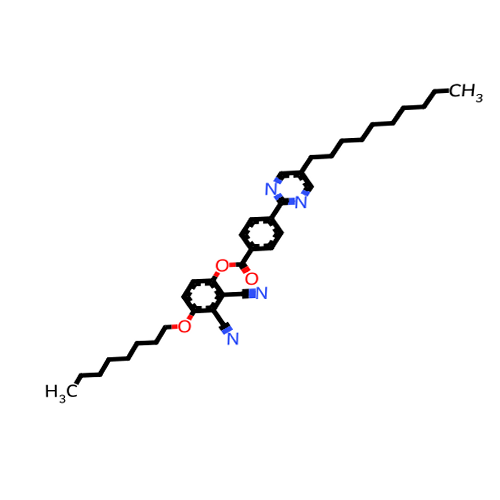 CCCCCCCCCCc1cnc(-c2ccc(C(=O)Oc3ccc(OCCCCCCCC)c(C#N)c3C#N)cc2)nc1